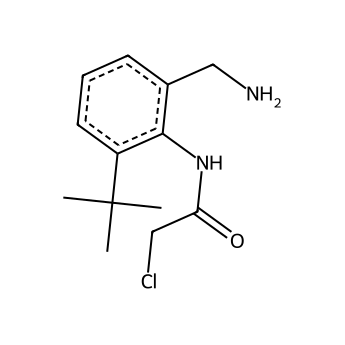 CC(C)(C)c1cccc(CN)c1NC(=O)CCl